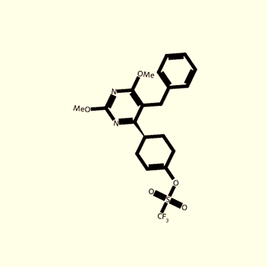 COc1nc(OC)c(Cc2ccccc2)c([C@@H]2CC=C(OS(=O)(=O)C(F)(F)F)CC2)n1